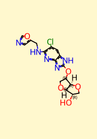 O[C@@H]1CO[C@H]2[C@@H]1OC[C@H]2Oc1nc2nc(NCc3cnco3)c(Cl)cc2[nH]1